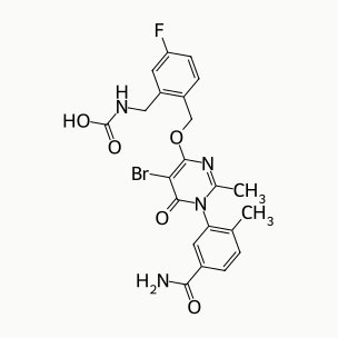 Cc1ccc(C(N)=O)cc1-n1c(C)nc(OCc2ccc(F)cc2CNC(=O)O)c(Br)c1=O